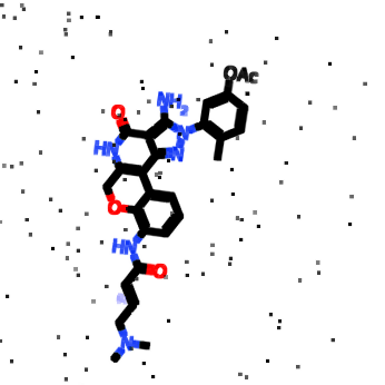 CC(=O)Oc1ccc(C)c(-n2nc3c4c([nH]c(=O)c3c2N)COc2c(NC(=O)/C=C/CN(C)C)cccc2-4)c1